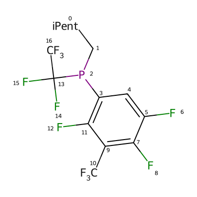 CCCC(C)CP(c1cc(F)c(F)c(C(F)(F)F)c1F)C(F)(F)C(F)(F)F